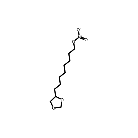 O=[N+]([O-])OCCCCCCCCC1COCO1